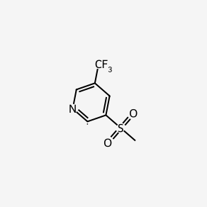 CS(=O)(=O)c1[c]ncc(C(F)(F)F)c1